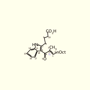 CCCCCCCC/C=C(\C)C(=O)c1c(CCCC(=O)O)[nH]c2ccccc12